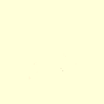 CN(C(=O)OCc1ccccc1)C(CC(=O)O)C1CCCCC1